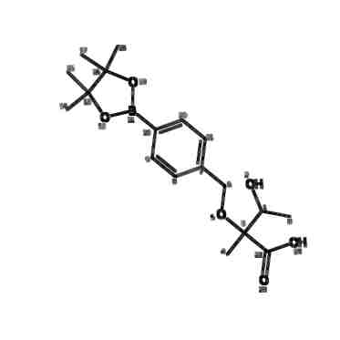 CC(O)C(C)(OCc1ccc(B2OC(C)(C)C(C)(C)O2)cc1)C(=O)O